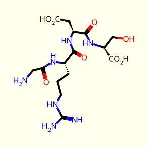 N=C(N)NCCC[C@H](NC(=O)CN)C(=O)N[C@@H](CC(=O)O)C(=O)N[C@@H](CO)C(=O)O